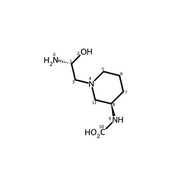 N[C@H](O)CN1CCC[C@@H](NC(=O)O)C1